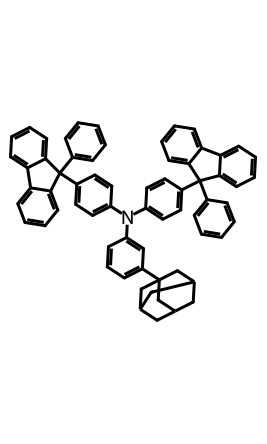 c1ccc(C2(c3ccc(N(c4ccc(C5(c6ccccc6)c6ccccc6-c6ccccc65)cc4)c4cccc(C56CC7CC(CC(C7)C5)C6)c4)cc3)c3ccccc3-c3ccccc32)cc1